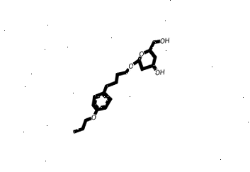 CCCOc1ccc(CCCCOC2CC(O)CC(CO)O2)cc1